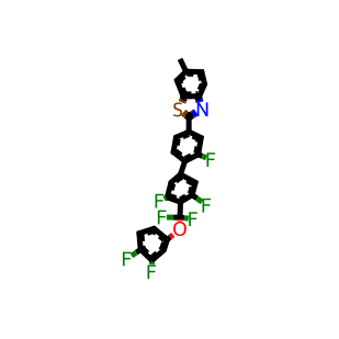 Cc1ccc2nc(-c3ccc(-c4cc(F)c(C(F)(F)Oc5ccc(F)c(F)c5)c(F)c4)c(F)c3)sc2c1